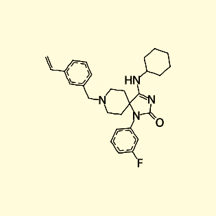 C=Cc1cccc(CN2CCC3(CC2)C(NC2CCCCC2)=NC(=O)N3c2cccc(F)c2)c1